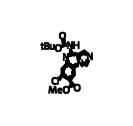 COC(=O)c1cc2c(cc1Cl)nc(NC(=O)OC(C)(C)C)c1cncn12